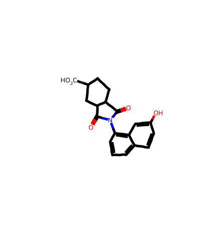 O=C(O)C1CCC2C(=O)N(c3cccc4ccc(O)cc34)C(=O)C2C1